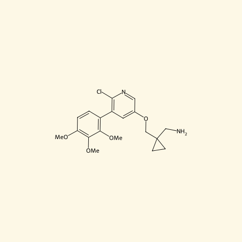 COc1ccc(-c2cc(OCC3(CN)CC3)cnc2Cl)c(OC)c1OC